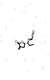 C=C1C[C@@H](C(CC)/N=C/B=O)OC1=O